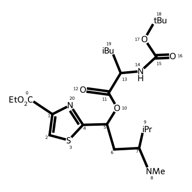 CCOC(=O)c1csc(C(CC(NC)C(C)C)OC(=O)C(NC(=O)OC(C)(C)C)C(C)CC)n1